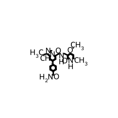 CCOc1cc(C)[nH]c(=O)c1CNC(=O)c1cc(-c2ccc(C(N)=O)cc2)cc2c(C(C)C)ncn12